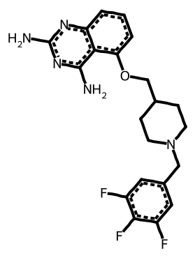 Nc1nc(N)c2c(OCC3CCN(Cc4cc(F)c(F)c(F)c4)CC3)cccc2n1